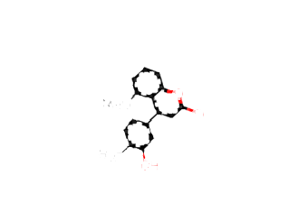 COc1cccc2oc(=O)cc(-c3ccc(C)c(O)c3)c12